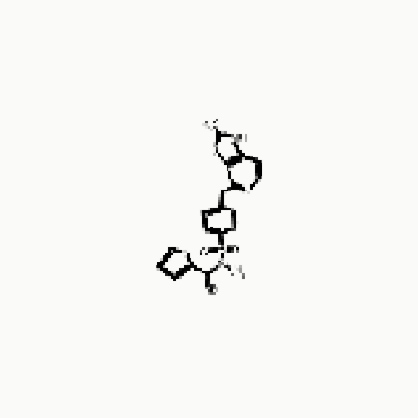 CCCCC(c1cccs1)N(C)S(=O)(=O)c1ccc(Cc2nccc3[nH]c(C)nc23)cc1